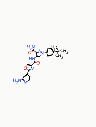 CC(C)(C)c1ccc(-n2cc(NC(=O)c3coc(-c4ccnc(N)c4)n3)c(C(N)=O)n2)cc1